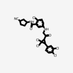 N#CC1CCC(NC(=O)c2cc(NCC(=O)C3C(c4ccc(Cl)c(Cl)c4)C3(Cl)Cl)ccc2Cl)C1